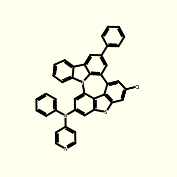 Clc1cc2sc3cc(N(c4ccccc4)c4ccncc4)cc4c3c2c(c1)c1cc(-c2ccccc2)cc2c3ccccc3n4c12